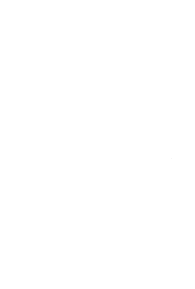 NC(=O)c1ccccc1.O=C(c1ccccc1)c1ccccc1[N+](=O)[O-]